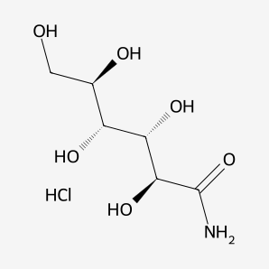 Cl.NC(=O)[C@@H](O)[C@@H](O)[C@H](O)[C@H](O)CO